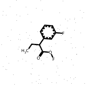 CCC(C(=O)OF)c1cccc(F)c1